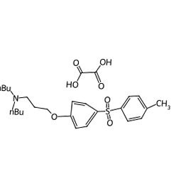 CCCCN(CCCC)CCCOc1ccc(S(=O)(=O)c2ccc(C)cc2)cc1.O=C(O)C(=O)O